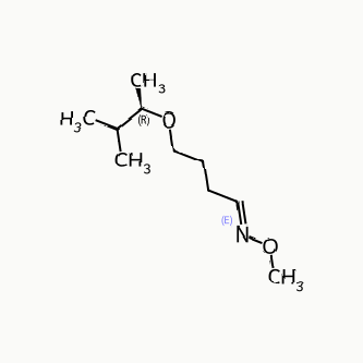 CO/N=C/CCCO[C@H](C)C(C)C